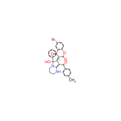 Cc1ccc(C(=O)C2=C3NCCCN3C(O)(c3ccccc3)/C2=C2/C(=O)Oc3ccc(Br)cc3C2=O)cc1